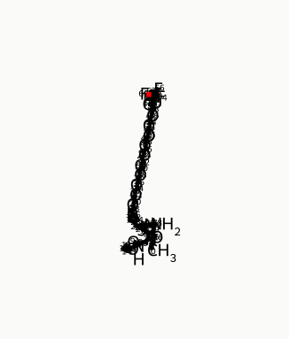 CCCN(CCCNC(=O)OC1CCC1)C(=O)C1=Cc2sc(CC3CCN(CCOCCOCCOCCOCCOCCOCCOCCOCCOCCOCCC(=O)Oc4c(F)c(F)cc(F)c4F)CC3)cc2N=C(N)C1